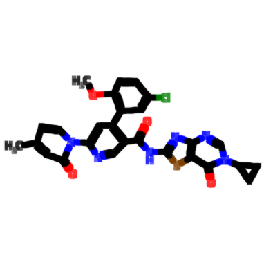 COc1ccc(Cl)cc1-c1cc(-n2ccc(C)cc2=O)ncc1C(=O)Nc1nc2ncn(C3CC3)c(=O)c2s1